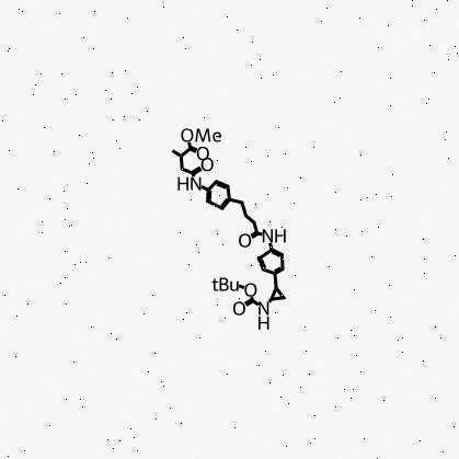 COC(=O)C(C)CC(=O)Nc1ccc(CCCC(=O)Nc2ccc(C3CC3NC(=O)OC(C)(C)C)cc2)cc1